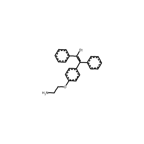 CC/C(=C(\c1ccccc1)c1ccc(OCCN)cc1)c1ccccc1